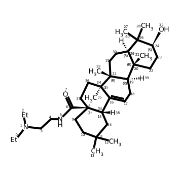 CCN(CC)CCNC(=O)[C@]12CCC(C)(C)C[C@H]1C1=CC[C@@H]3[C@@]4(C)CC[C@H](O)C(C)(C)[C@@H]4CC[C@@]3(C)[C@]1(C)CC2